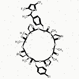 CCc1ccc(C[C@H]2OC(=O)[C@H](CC(C)C)N(C)C(=O)[C@@H](C)OC(=O)[C@H](CC(C)C)N(C)C(=O)[C@@H](Cc3ccc(C(C)n4nc(C(F)(F)F)cc4C(F)(F)F)cc3)OC(=O)[C@H](CC(C)C)N(C)C(=O)[C@@H](C)OC(=O)[C@H](CC(C)C)N(C)C2=O)cc1